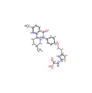 Cc1ccc(C(=O)Nc2ccc(OCCc3csc(NC(=O)O)n3)cc2)c(N2CCC(C)CC2)n1